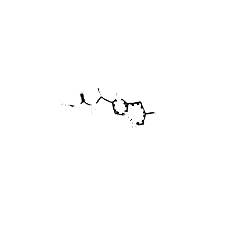 C[C@H](NC(=O)OC(C)(C)C)c1cn2ncc(Cl)cc2n1